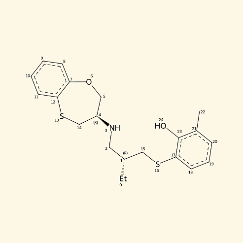 CC[C@H](CN[C@@H]1COc2ccccc2SC1)CSc1cccc(C)c1O